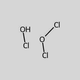 ClOCl.OCl